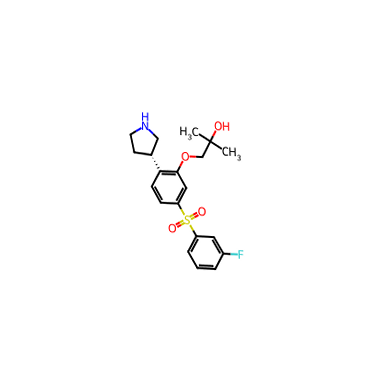 CC(C)(O)COc1cc(S(=O)(=O)c2cccc(F)c2)ccc1[C@@H]1CCNC1